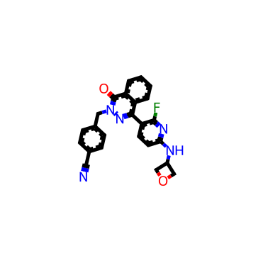 N#Cc1ccc(Cn2nc(-c3ccc(NC4COC4)nc3F)c3ccccc3c2=O)cc1